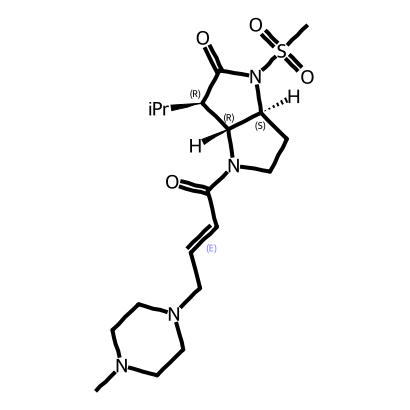 CC(C)[C@H]1C(=O)N(S(C)(=O)=O)[C@H]2CCN(C(=O)/C=C/CN3CCN(C)CC3)[C@H]12